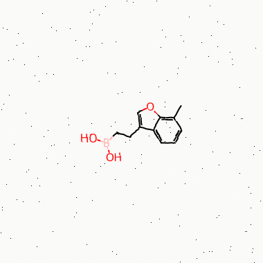 Cc1cccc2c(CCB(O)O)coc12